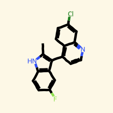 Cc1[nH]c2ccc(F)cc2c1-c1ccnc2cc(Cl)ccc12